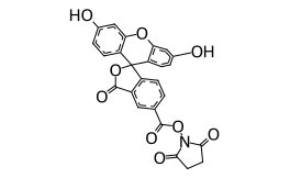 O=C(ON1C(=O)CCC1=O)c1ccc2c(c1)C(=O)OC21c2ccc(O)cc2Oc2cc(O)ccc21